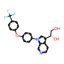 OC[C@H](O)c1cn(-c2ccc(Oc3ccc(C(F)(F)F)cc3)cc2)c2cnccc12